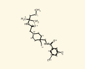 COCC(C)(C)NC(=O)CN1CCC(F)(CNC(=O)c2cc(Cl)cc(Cl)c2)CC1